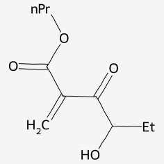 C=C(C(=O)OCCC)C(=O)C(O)CC